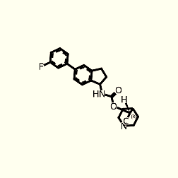 O=C(NC1CCc2cc(-c3cccc(F)c3)ccc21)O[C@H]1CN2CCC1CC2